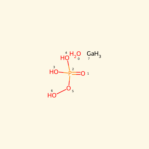 O.O=P(O)(O)OO.[GaH3]